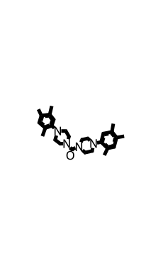 Cc1cc(C)c(N2CCN(C(=O)N3CCN(c4cc(C)c(C)cc4C)CC3)CC2)cc1C